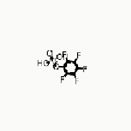 O=[As](O)(O)Oc1c(F)c(F)c(F)c(F)c1F